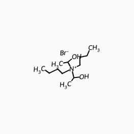 CCCC[N+](CCCC)(C(C)O)C(C)O.[Br-]